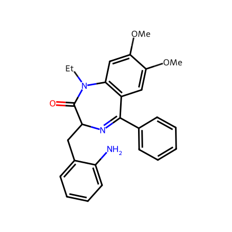 CCN1C(=O)C(Cc2ccccc2N)N=C(c2ccccc2)c2cc(OC)c(OC)cc21